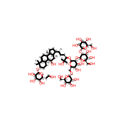 C[C@H](CC[C@@H](O[C@@H]1O[C@H](CO[C@H]2O[C@H](CO)[C@@H](O)[C@H](O)[C@H]2O)[C@@H](O)[C@H](O)[C@H]1O[C@@H]1O[C@H](CO)[C@@H](O)[C@H](O)[C@H]1O[C@H]1O[C@H](CO)[C@@H](O)[C@H](O)[C@H]1O)C(C)(C)O)C1CC[C@@]2(C)C3CC=C4C(CC[C@H](O[C@@H]5O[C@H](CCO)[C@@H](O)[C@H](O)[C@H]5O)C4(C)C)[C@]3(C)[C@H](O)C[C@]12C